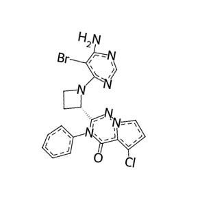 Nc1ncnc(N2CC[C@H]2c2nn3ccc(Cl)c3c(=O)n2-c2ccccc2)c1Br